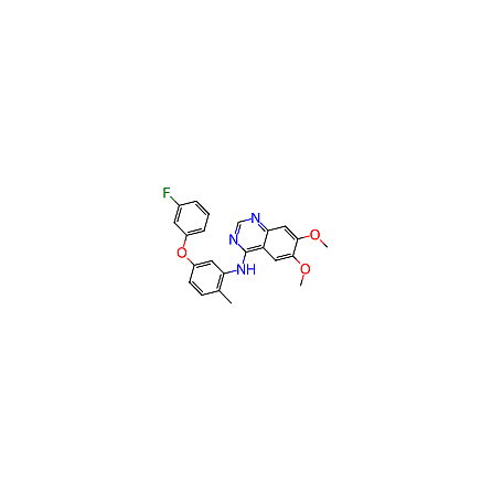 COc1cc2ncnc(Nc3cc(Oc4cccc(F)c4)ccc3C)c2cc1OC